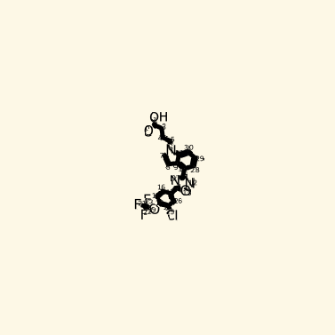 O=C(O)CCCn1ccc2c(-c3noc(-c4ccc(OC(F)(F)F)c(Cl)c4)n3)cccc21